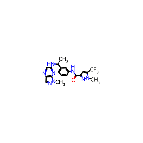 C[C@H](Nc1cnc2cnn(C)c2n1)c1cccc(NC(=O)c2cc(C(F)(F)F)n(C)n2)c1